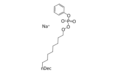 CCCCCCCCCCCCCCCCCCOOP(=O)([O-])Oc1ccccc1.[Na+]